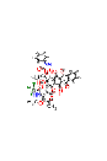 CO[C@H]1[C@@H](NC(=O)C(F)(F)F)C[C@H](O[C@H]2C[C@](O)(C(C)OC(=O)Nc3ccccc3)Cc3c(O)c4c(c(O)c32)C(=O)c2ccccc2C4=O)O[C@H]1C